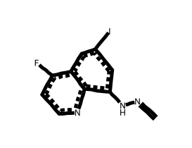 C=NNc1cc(I)cc2c(F)ccnc12